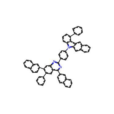 c1ccc(-c2cc3c(-c4ccc5ccccc5c4)nc(-c4ccc(-n5c6cc7ccccc7cc6c6c(-c7ccccc7)cccc65)cc4)nc3cc2-c2ccc3ccccc3c2)cc1